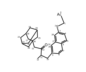 CC(=O)CSc1ccc2ccc(CC(C)C(=O)CC34CC5CC(CC(C5)C3)C4)cc2c1